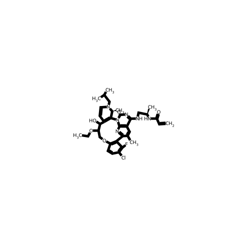 C=CC(=O)N[C@H](C)CNc1nc(=O)n2c3nc(c(C)cc13)-c1c(ccc(Cl)c1F)OCC(OCC)C(O)C1=C2[C@@H](C)N(CC(C)C)C=C1